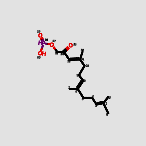 CC(C)=CCCC(C)=CCCC(C)=CC(=O)CO[PH](=O)O